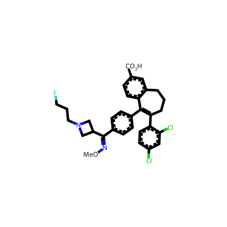 CON=C(c1ccc(C2=C(c3ccc(Cl)cc3Cl)CCCc3cc(C(=O)O)ccc32)cc1)C1CN(CCCF)C1